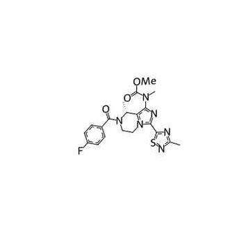 COC(=O)N(C)c1nc(-c2nc(C)ns2)n2c1[C@@H](C)N(C(=O)c1ccc(F)cc1)CC2